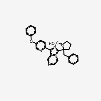 O=C(O)N1CCCC1(Cc1ccccc1)c1nc(-c2ccc(Oc3ccccc3)cn2)c2cnccn12